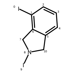 Ic1cccc2c1CN(I)C2